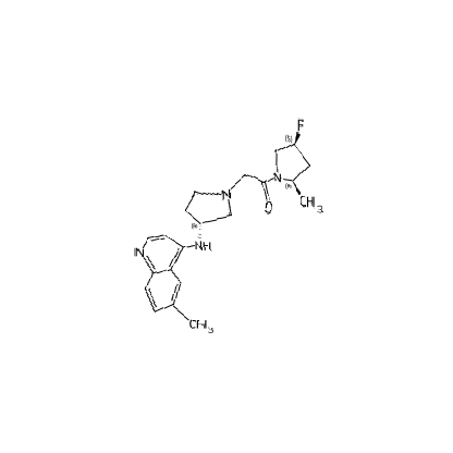 Cc1ccc2nccc(N[C@@H]3CCN(CC(=O)N4C[C@@H](F)C[C@H]4C)C3)c2c1